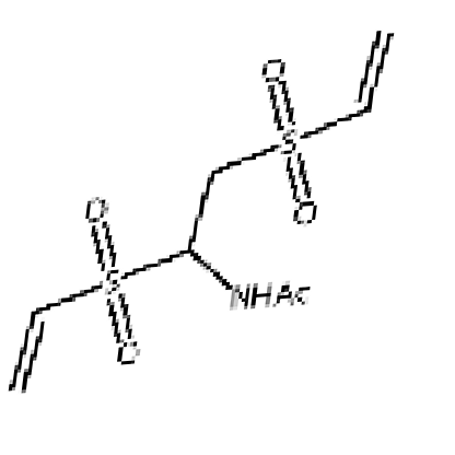 C=CS(=O)(=O)CC(NC(C)=O)S(=O)(=O)C=C